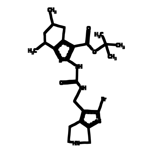 CC1Cc2c(sc(NC(=O)NCc3c(Br)sc4c3CCNC4)c2C(=O)OC(C)(C)C)C(C)C1